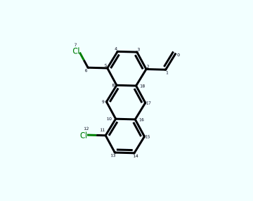 C=Cc1ccc(CCl)c2cc3c(Cl)cccc3cc12